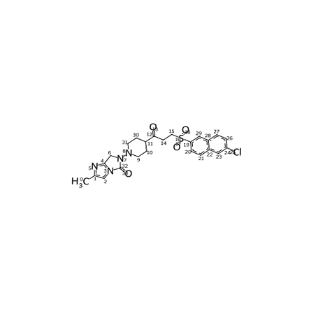 Cc1cn2c(n1)CN(N1CCC(C(=O)CCS(=O)(=O)c3ccc4cc(Cl)ccc4c3)CC1)C2=O